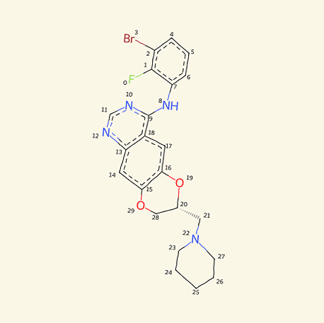 Fc1c(Br)cccc1Nc1ncnc2cc3c(cc12)O[C@H](CN1CCCCC1)CO3